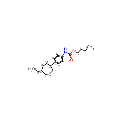 CCCCOC(=O)Nc1ccc(C2CCCC(CC)CC2)cc1